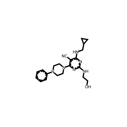 N#Cc1c(NCC2CC2)nc(NCCO)nc1N1CCN(c2ccccc2)CC1